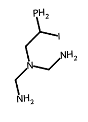 NCN(CN)CC(P)I